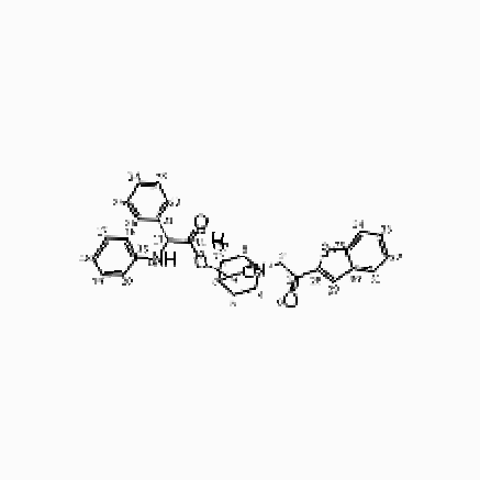 O=C(C[N+]12CCC(CC1)[C@@H](OC(=O)C(Nc1ccccc1)c1ccccc1)C2)c1cc2ccccc2s1